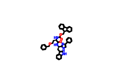 O=C(N[C@H](CCOCc1ccccc1)C(=O)N[C@H](Cc1c[nH]c2ccccc12)c1nc(-c2ccccc2)c[nH]1)OCC1c2ccccc2-c2ccccc21